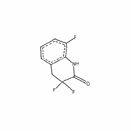 O=C1Nc2c(F)cccc2CC1(F)F